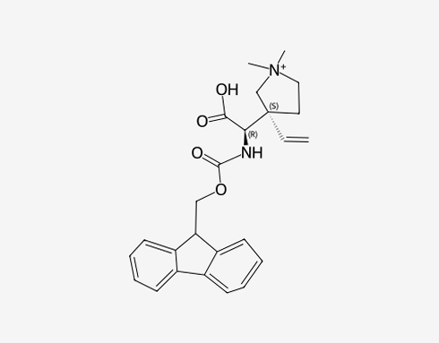 C=C[C@@]1([C@@H](NC(=O)OCC2c3ccccc3-c3ccccc32)C(=O)O)CC[N+](C)(C)C1